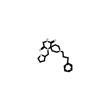 O=C1CNC(=O)C2(CCN(CCCc3ccccc3)CC2)N1CC1CCCO1